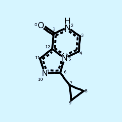 O=c1[nH]ccn2c(C3CC3)ncc12